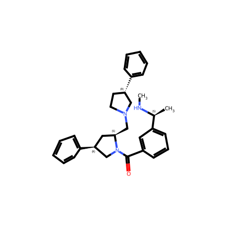 CN[C@@H](C)c1cccc(C(=O)N2C[C@@H](c3ccccc3)C[C@H]2CN2CC[C@H](c3ccccc3)C2)c1